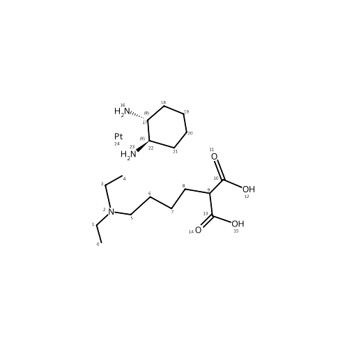 CCN(CC)CCCCC(C(=O)O)C(=O)O.N[C@@H]1CCCC[C@H]1N.[Pt]